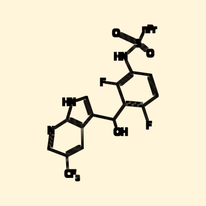 CCCS(=O)(=O)Nc1ccc(F)c(C(O)c2c[nH]c3ncc(C(F)(F)F)cc23)c1F